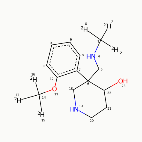 [2H]C([2H])([2H])NCC1(c2ccccc2OC([2H])([2H])[2H])CNCCC1O